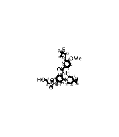 COc1ccc(C(=O)Nc2ccc(NS(=O)(=O)CCO)cc2N2CCC3(CC2)CC3)nc1N1CC(F)(F)C1